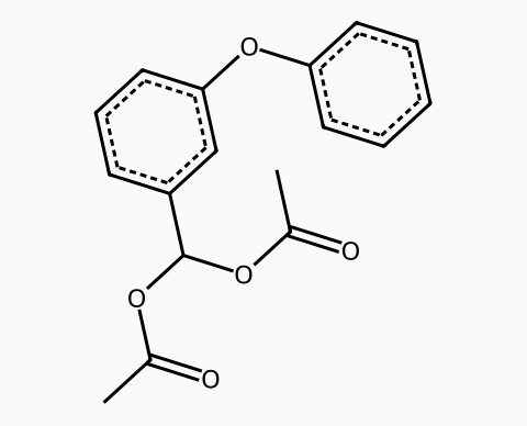 CC(=O)OC(OC(C)=O)c1cccc(Oc2ccccc2)c1